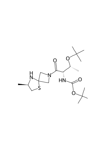 C[C@@H]1CSC2(CN(C(=O)[C@@H](NC(=O)OC(C)(C)C)[C@@H](C)OC(C)(C)C)C2)N1